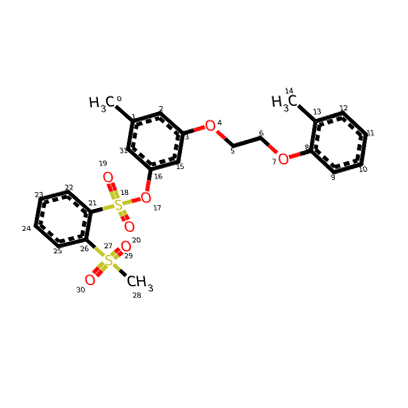 Cc1cc(OCCOc2ccccc2C)cc(OS(=O)(=O)c2ccccc2S(C)(=O)=O)c1